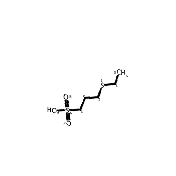 CCSCCCS(=O)(=O)O